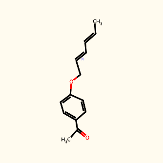 CC=C/C=C/COc1ccc(C(C)=O)cc1